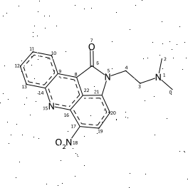 CN(C)CCN1C(=O)c2c3ccccc3nc3c([N+](=O)[O-])ccc1c23